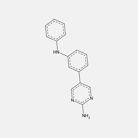 Nc1ncc(-c2cccc(Nc3ccccc3)c2)cn1